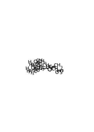 C=C1C(=CC=C2CCC[C@]3(C)[C@@H]([C@H](C)CCC(=O)c4cccs4)CC[C@@H]23)CC(O[Si](C)(C)C(C)(C)C)CC1O[Si](C)(C)C(C)(C)C